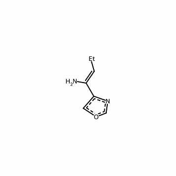 CC/C=C(\N)c1cocn1